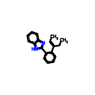 CC=C(CC)c1ccccc1-c1nc2ccccc2[nH]1